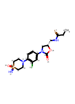 CCC(=S)NC[C@H]1CN(c2ccc(N3CCS(=N)(=O)CC3)c(F)c2)C(=O)O1